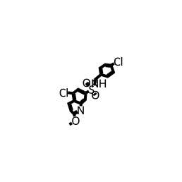 COc1ccc2c(Cl)cc(S(=O)(=O)NCc3ccc(Cl)cc3)cc2n1